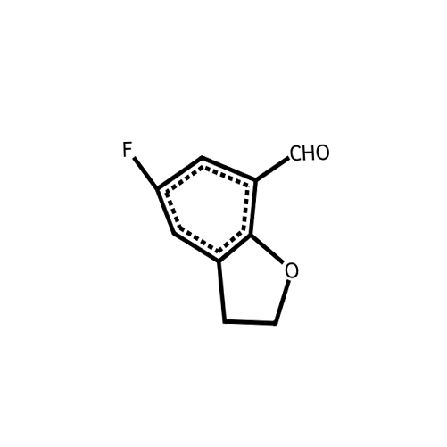 O=Cc1cc(F)cc2c1OCC2